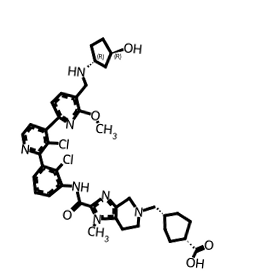 COc1nc(-c2ccnc(-c3cccc(NC(=O)c4nc5c(n4C)CCN(C[C@H]4CC[C@@H](C(=O)O)CC4)C5)c3Cl)c2Cl)ccc1CN[C@@H]1CC[C@@H](O)C1